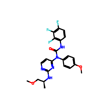 COC[C@H](C)Nc1nccc(N(C(=O)Nc2ccc(F)c(F)c2F)c2ccc(OC)cc2)n1